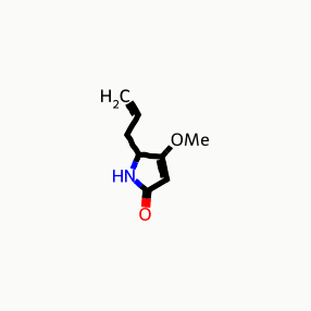 C=CCC1NC(=O)C=C1OC